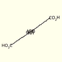 O=C(O)CCCCCCCCCCCCCCCCCCCCC(=O)NCCNC(=O)CCCCCCCCCCCCCCCCCCCCC(=O)O